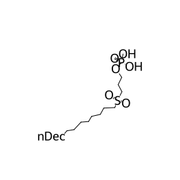 CCCCCCCCCCCCCCCCCCS(=O)(=O)CCCOP(=O)(O)O